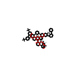 CCC(C)[C@@H](C)C(C)(C)NC(C)[C@@H](C)B1c2ccc(-n3c4ccc(C(C)(C)C)cc4c4cc(C(C)(C)C)ccc43)cc2N(c2c(-c3ccccc3)cccc2-c2ccccc2)c2cc(-c3ccc4c(c3)c3cccc5c6ccccc6n4c53)cc(N(CC)c3c(-c4ccccc4)cccc3-c3ccccc3)c21